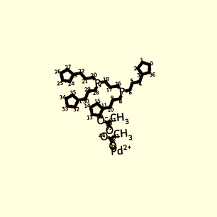 C1CCC(CCCP(CCCC2CCCC2)CCCP(CCCC2CCCC2)CCCC2CCCC2)C1.CC(=O)[O-].CC(=O)[O-].[Pd+2]